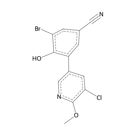 COc1ncc(-c2cc(C#N)cc(Br)c2O)cc1Cl